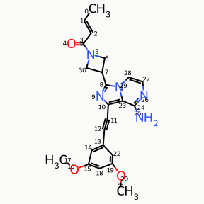 CC=CC(=O)N1CC(c2nc(C#Cc3cc(OC)cc(OC)c3)c3c(N)nccn23)C1